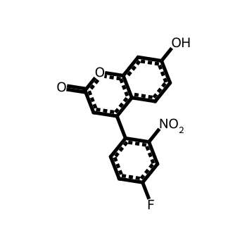 O=c1cc(-c2ccc(F)cc2[N+](=O)[O-])c2ccc(O)cc2o1